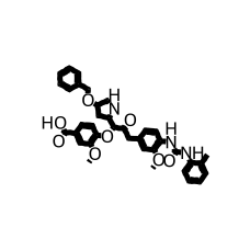 COc1cc(CC(=O)C(Oc2ccc(C(=O)O)cc2OC)C2CC(OCc3ccccc3)CN2)ccc1NC(=O)Nc1ccccc1C